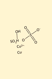 O=S(=O)(O)O.O=S(=O)([O-])[O-].[Cu+2].[Cu]